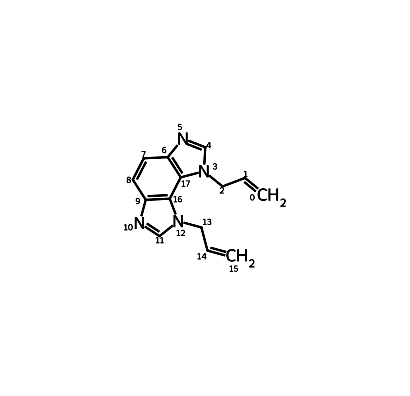 C=CCn1cnc2ccc3ncn(CC=C)c3c21